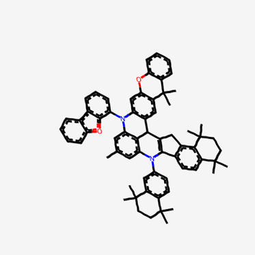 Cc1cc2c3c(c1)N(c1cccc4c1oc1ccccc14)c1cc4c(cc1C3C1=C(c3ccc5c(c3C1)C(C)(C)CCC5(C)C)N2c1ccc2c(c1)C(C)(C)CCC2(C)C)C(C)(C)c1ccccc1O4